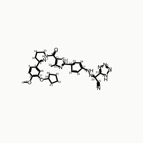 COc1ccc(C2=NN(C(=O)c3sc(-c4ccc(NN=C(C#N)c5nnn[nH]5)cc4)nc3C)CCC2)cc1OC1CCCC1